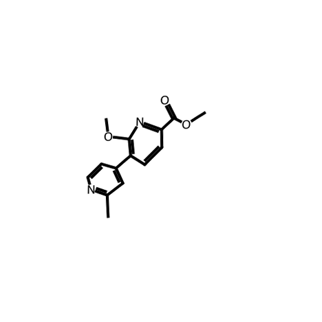 COC(=O)c1ccc(-c2ccnc(C)c2)c(OC)n1